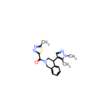 Cc1nnc(C(=O)N2Cc3ccccc3C(c3cnn(C)c3C)C2)s1